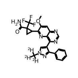 [2H]C([2H])([2H])n1cc(-c2ncnc3cc(OC)c(C4CC4(C(N)=O)C(F)(F)F)nc23)c(-c2ccccc2)n1